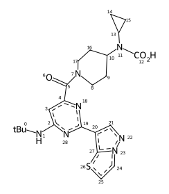 CC(C)(C)Nc1cc(C(=O)N2CCC(N(C(=O)O)C3CC3)CC2)nc(-c2cnn3ccsc23)n1